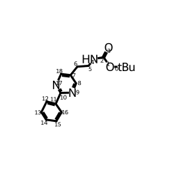 CC(C)(C)OC(=O)NCCc1cnc(-c2ccccc2)nc1